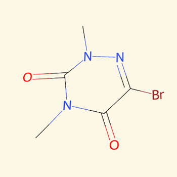 Cn1nc(Br)c(=O)n(C)c1=O